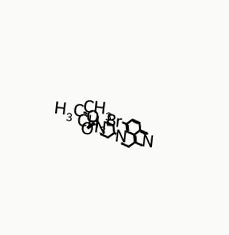 CC(C)(C)OC(=O)N1CCC(N2CCc3cncc4ccc(Br)c2c34)CC1